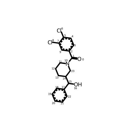 O=C(c1ccc(Cl)c(Cl)c1)N1CCCC(C(O)c2ccccc2)C1